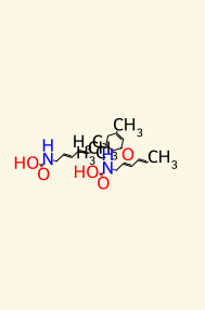 CC1=CC(=O)CC(C)(C)C1.CC=CC=CCNC(=O)O.CC=CC=CCNC(=O)O